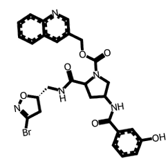 O=C(NC1CC(C(=O)NC[C@@H]2CC(Br)=NO2)N(C(=O)OCc2cnc3ccccc3c2)C1)c1cccc(O)c1